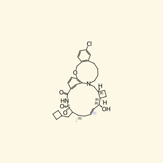 C[C@H]1C/C=C/[C@H](O)[C@@H]2CC[C@H]2CN2CCCCc3cc(Cl)ccc3COc3ccc(cc32)C(=O)NS(=O)(=O)C1CC1CCC1